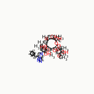 CC[C@H]1OC(=O)[C@H](C)[C@@H](O[C@H]2C[C@@](C)(OC)[C@@H](O)[C@H](C)O2)[C@H](C)[C@@H](O[C@@H]2O[C@H](C)C[C@H](N(C)Cc3cnnn3CCc3ccccc3)[C@H]2O)[C@](C)(O)C[C@@H](C)C(=O)[C@H](C)[C@@H](O)[C@]1(C)O